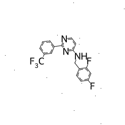 Fc1ccc(CNc2ccnc(-c3cccc(C(F)(F)F)c3)n2)c(F)c1